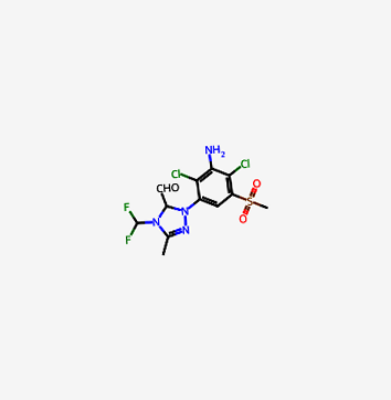 CC1=NN(c2cc(S(C)(=O)=O)c(Cl)c(N)c2Cl)C(C=O)N1C(F)F